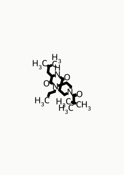 CCCN1C(=O)C(CC(C)C)NC(=O)C12CCN(C(=O)C(C)(C)C)CC2